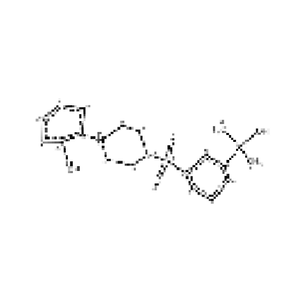 CC(O)(c1cccc(S(=O)(=O)N2CCN(c3ccccc3C(F)(F)F)CC2)c1)C(F)(F)F